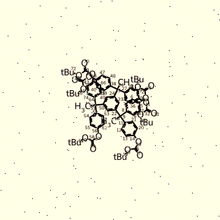 CC(C)(C)OC(=O)Oc1ccc(C(C)(c2ccc(OC(=O)OC(C)(C)C)cc2)c2cc(C(C)(c3ccc(OC(=O)OC(C)(C)C)cc3)c3ccc(OC(=O)OC(C)(C)C)cc3)cc(C(C)(c3ccc(OC(=O)OC(C)(C)C)cc3)c3ccc(OC(=O)OC(C)(C)C)cc3)c2)cc1